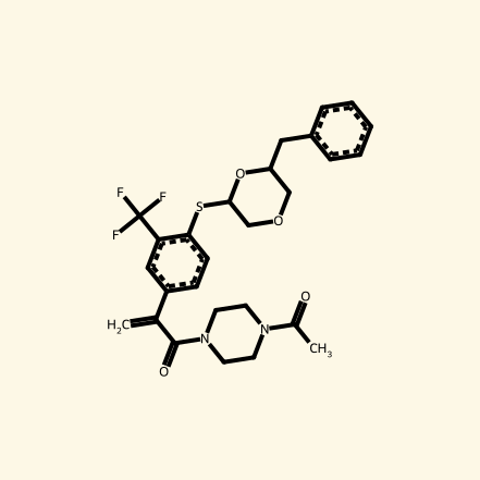 C=C(C(=O)N1CCN(C(C)=O)CC1)c1ccc(SC2COCC(Cc3ccccc3)O2)c(C(F)(F)F)c1